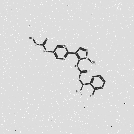 C[C@@H](OC(=O)Nc1c(-c2ncc(NC(=O)OC(C)(C)C)cn2)cnn1C)c1cccnc1Cl